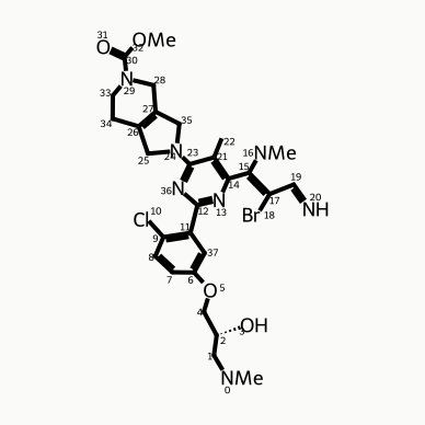 CNC[C@@H](O)COc1ccc(Cl)c(-c2nc(/C(NC)=C(\Br)C=N)c(C)c(N3CC4=C(CN(C(=O)OC)CC4)C3)n2)c1